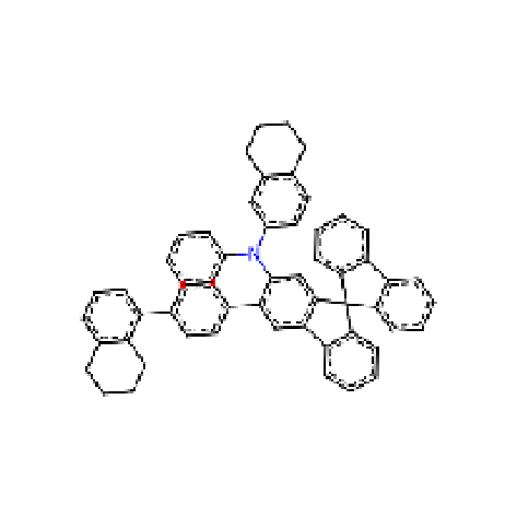 c1ccc(N(c2ccc3c(c2)CCCC3)c2cc3c(cc2-c2ccc(-c4cccc5c4CCCC5)cc2)-c2ccccc2C32c3ccccc3-c3ccccc32)cc1